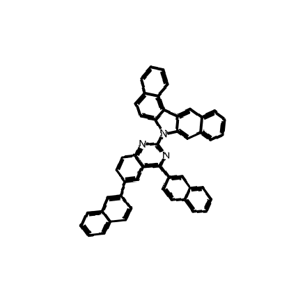 c1ccc2cc(-c3ccc4nc(-n5c6cc7ccccc7cc6c6c7ccccc7ccc65)nc(-c5ccc6ccccc6c5)c4c3)ccc2c1